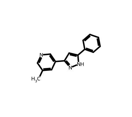 Cc1cncc(-c2cc(-c3ccccc3)[nH]n2)c1